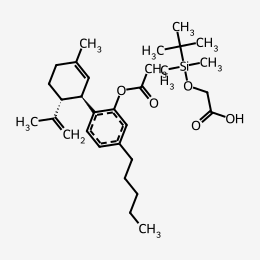 C=C(C)[C@@H]1CCC(C)=C[C@H]1c1ccc(CCCCC)cc1OC(C)=O.CC(C)(C)[Si](C)(C)OCC(=O)O